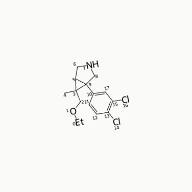 CCOCC1(C)C2CNCC21c1ccc(Cl)c(Cl)c1